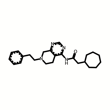 O=C(CC1CCCCCC1)Nc1ncnc2c1CCN(CCc1ccccc1)C2